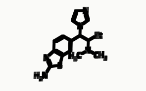 CCC(C(c1ccc2nc(N)sc2c1)n1ccnc1)N(C)C